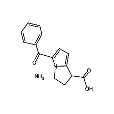 N.O=C(c1ccccc1)c1ccc2n1CCC2C(=O)O